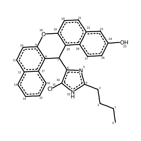 CCCCc1nc(C2c3c(ccc4ccccc34)Oc3ccc4cc(O)ccc4c32)c(Cl)[nH]1